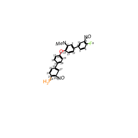 CNc1cc(-c2ccc(F)c(N=O)c2)ccc1Oc1ccc(-c2ccc(P)c(N=O)c2)cc1